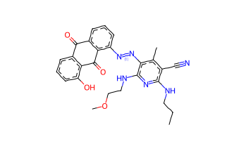 CCCNc1nc(NCCOC)c(/N=N/c2cccc3c2C(=O)c2c(O)cccc2C3=O)c(C)c1C#N